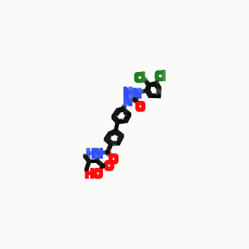 CC(C)[C@@H](NC(=O)c1ccc(-c2ccc(NC(=O)Nc3cccc(Cl)c3Cl)cc2)cc1)C(=O)O